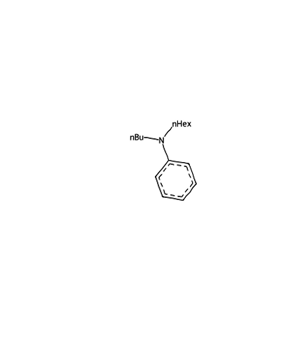 CCCCCCN(CCCC)c1ccccc1